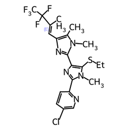 CCSc1c(-c2nc(/C=C(\C)C(F)(F)C(F)(F)F)c(C)n2C)nc(-c2ccc(Cl)cn2)n1C